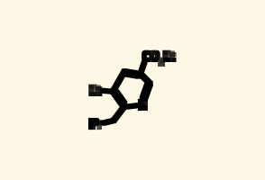 CCOC(=O)c1cnc(CC(C)C)c(CC)c1